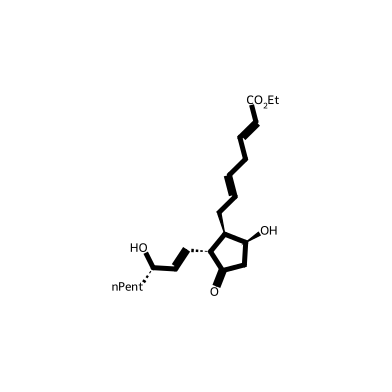 CCCCC[C@H](O)C=C[C@H]1C(=O)C[C@H](O)[C@@H]1CC=CCC=CC(=O)OCC